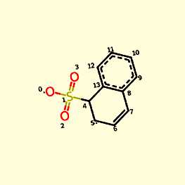 [O]S(=O)(=O)C1[C]C=Cc2ccccc21